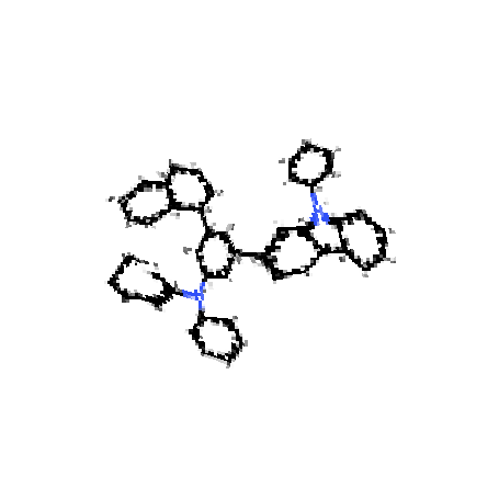 c1ccc(N(c2ccccc2)c2cc(-c3ccc4c5ccccc5n(-c5ccccc5)c4c3)cc(-c3cccc4ccccc34)c2)cc1